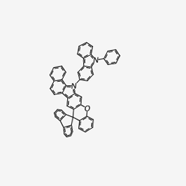 c1ccc(-n2c3ccccc3c3cc(-n4c5cc6c(cc5c5ccc7ccccc7c54)C4(c5ccccc5O6)c5ccccc5-c5ccccc54)ccc32)cc1